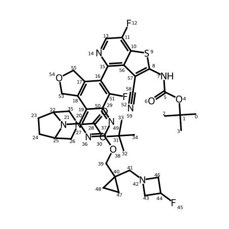 CC(C)(C)OC(=O)Nc1sc2c(F)cnc(-c3c4c(c5c(N6C7CCC6CN(C(=O)OC(C)(C)C)C7)nc(OCC6(CN7CC(F)C7)CC6)nc5c3F)COC4)c2c1C#N